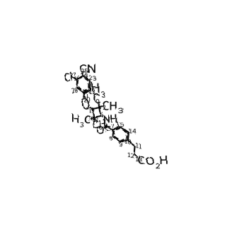 CC1(C)[C@H](NC(=O)c2ccc(CCC(=O)O)cc2)C(C)(C)[C@H]1Oc1ccc(C#N)c(Cl)c1